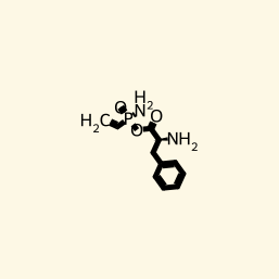 C=CP(N)(=O)OC(=O)[C@@H](N)Cc1ccccc1